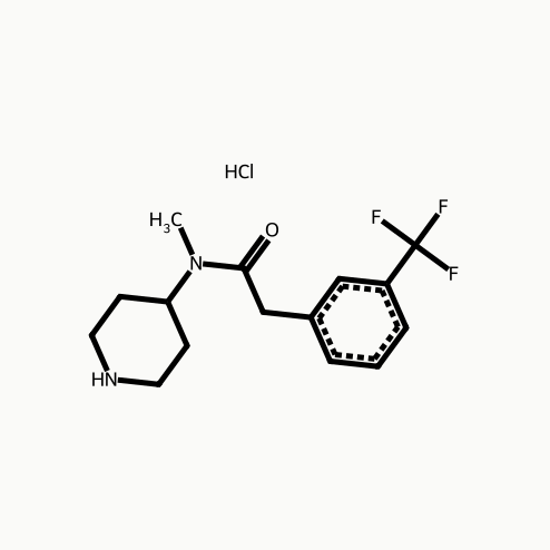 CN(C(=O)Cc1cccc(C(F)(F)F)c1)C1CCNCC1.Cl